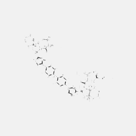 COC(=O)N[C@H](C(=O)N1[C@H](c2ncc(-c3ccc(-c4ccc(-c5cnc([C@@H]6C[C@@]7(CCCOC7)CN6C(=O)[C@@H](C)C(C)C)[nH]5)cc4)cc3)[nH]2)C[C@@H]2CCCC[C@@H]21)C(C)C